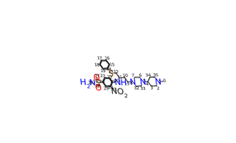 CN1CCC(N2CCN(CC[C@H](CSc3ccccc3)Nc3ccc(S(N)(=O)=O)cc3[N+](=O)[O-])CC2)CC1